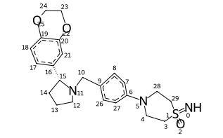 N=S1(=O)CCN(c2ccc(CN3CCC[C@@H]3c3ccc4c(c3)OCCO4)cc2)CC1